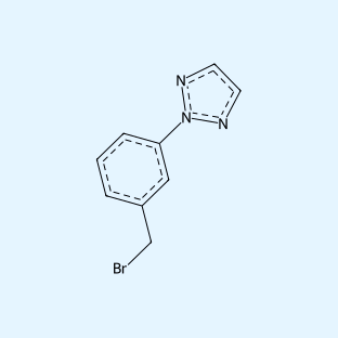 BrCc1cccc(-n2nccn2)c1